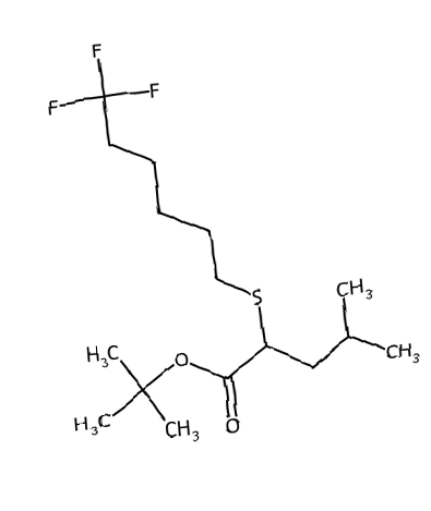 CC(C)CC(SCCCCCC(F)(F)F)C(=O)OC(C)(C)C